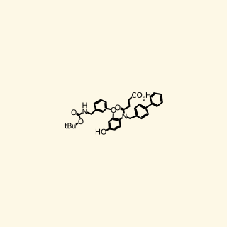 CC(C)(C)OC(=O)NCc1cccc(Oc2cc(O)ccc2N(Cc2ccc(-c3ccccc3)cc2)C(=O)CCC(=O)O)c1